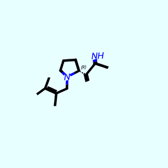 C=C(C(C)=N)[C@H]1CCCN1CC(C)=C(C)C